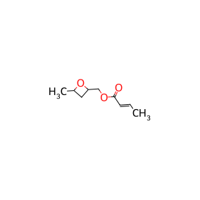 CC=CC(=O)OCC1CC(C)O1